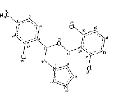 Cc1ccc(C(Cn2ccnc2)OCc2c(Cl)cccc2Cl)c(Cl)c1